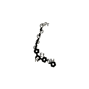 CCCOCCOCCOCCOCCOc1ccc(-c2cncc(-c3ccc(NCc4ccccc4)cc3)c2CC)cc1